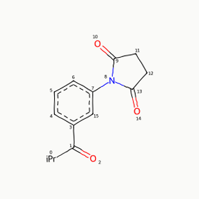 CC(C)C(=O)c1cccc(N2C(=O)CCC2=O)c1